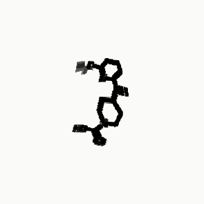 Cc1cccc(NC2CCN(C(=O)O)CC2)n1